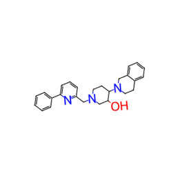 OC1CN(Cc2cccc(-c3ccccc3)n2)CCC1N1CCc2ccccc2C1